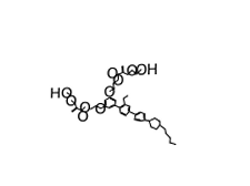 C=C(COCO)C(=O)OCCOc1cc(OCCOC(=O)C(=C)COCO)cc(-c2ccc(-c3ccc(C4CCC(CCCCC)CC4)cc3)cc2CC)c1